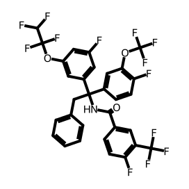 O=C(NC(Cc1ccccc1)(c1cc(F)cc(OC(F)(F)C(F)F)c1)c1ccc(F)c(OC(F)(F)F)c1)c1ccc(F)c(C(F)(F)F)c1